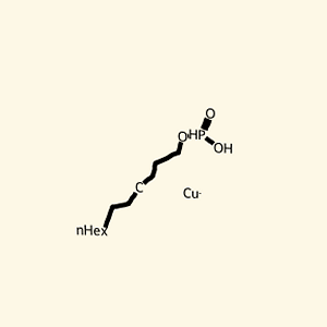 CCCCCCCCCCCCO[PH](=O)O.[Cu]